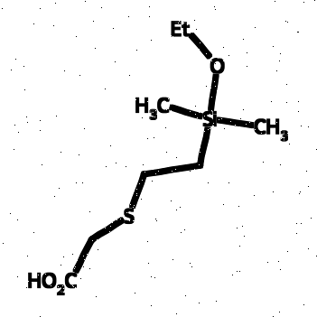 CCO[Si](C)(C)CCSCC(=O)O